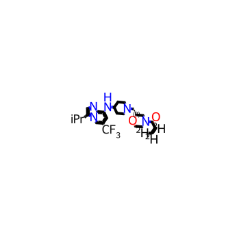 [2H]C([2H])=C([2H])C(=O)N1CCO[C@H](CN2CCC(Nc3cc(C(F)(F)F)cn4c(C(C)C)cnc34)CC2)C1